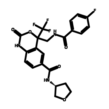 O=C1Nc2ccc(C(=O)N[C@@H]3CCOC3)cc2C(CNC(=O)c2ccc(F)cc2)(C(F)(F)F)O1